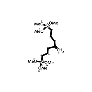 C=C(CCC[Si](OC)(OC)OC)CCC[Si](OC)(OC)OC